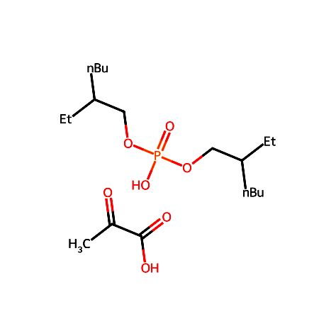 CC(=O)C(=O)O.CCCCC(CC)COP(=O)(O)OCC(CC)CCCC